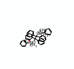 C[Si](C)(OC(c1ccccc1)(c1ccccc1)C(O[Si](C)(C)c1ccccc1)(c1ccccc1)c1ccccc1)c1ccccc1